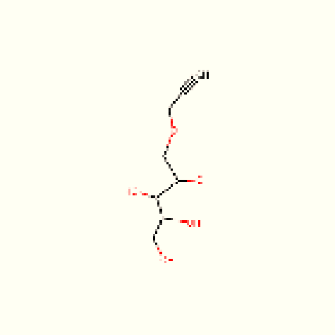 C#CCOCC(O)C(O)C(O)CO